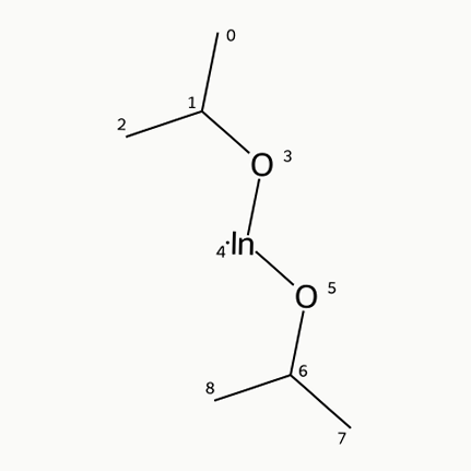 CC(C)[O][In][O]C(C)C